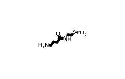 NCCCC(=O)NCCSP